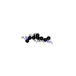 Cn1c2ccccc2c2cc(-c3ccc4c(c3)[Si](C)(C)c3cc5c6c(cccc6c3-4)[Si](C)(C)c3cc(-c4ccc6c(c4)c4ccccc4n6C)ccc3-5)ccc21